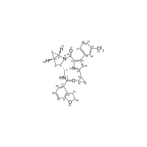 O=C(NC[C@@H]1C[C@@H]2C[C@@H]2N1C(=O)c1nc(C2CC2)sc1-c1cccc(C(F)(F)F)c1)c1cccc2c1CCO2